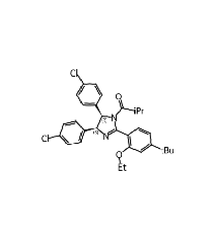 CCOc1cc(C(C)(C)C)ccc1C1=N[C@@H](c2ccc(Cl)cc2)[C@@H](c2ccc(Cl)cc2)N1C(=O)C(C)C